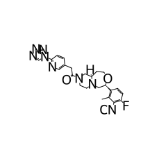 Cc1c([C@H]2CN3CCN(C(=O)Cc4ccc(-n5cnnn5)nc4)C[C@H]3CCO2)ccc(F)c1C#N